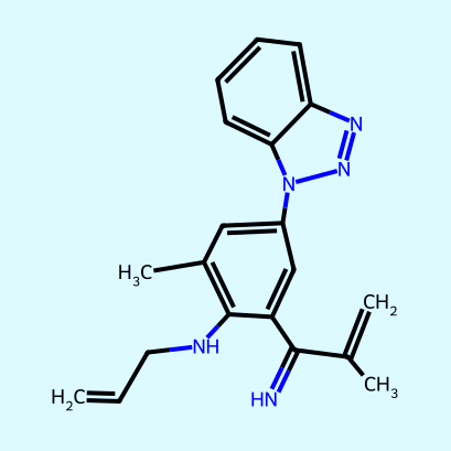 C=CCNc1c(C)cc(-n2nnc3ccccc32)cc1C(=N)C(=C)C